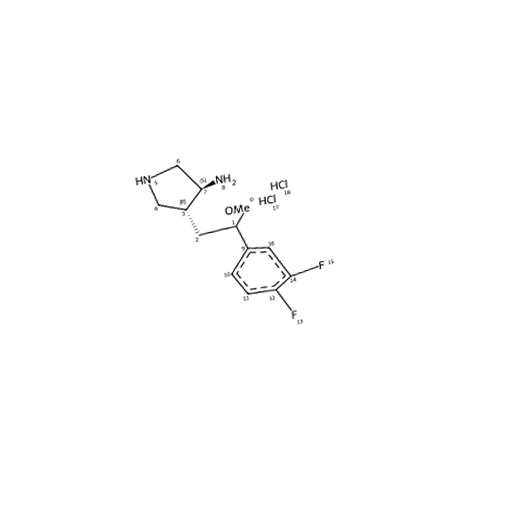 COC(C[C@@H]1CNC[C@H]1N)c1ccc(F)c(F)c1.Cl.Cl